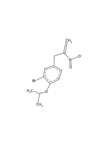 C=C(Cc1ccc(OC(C)C)c(Br)c1)[N+](=O)[O-]